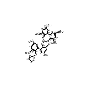 CC(C)(C)c1cc(-c2cc(C(C)(C)C)cc(C(C)(C)C)c2Op2oc3c(C(C)(C)C)cc(C(C)(C)C)cc3c3cc(C(C)(C)C)cc(C(C)(C)C)c3o2)c(OP2OCCO2)c(C(C)(C)C)c1